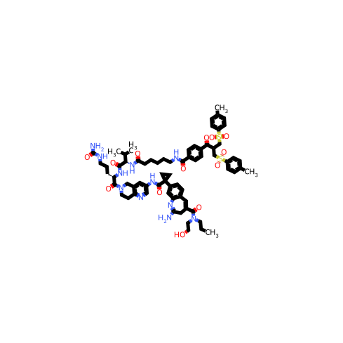 CCCN(CCO)C(=O)C1=Cc2ccc(C3(C(=O)Nc4cnc5c(c4)CN(C(=O)[C@H](CCCNC(N)=O)NC(=O)[C@@H](NC(=O)CCCCCNC(=O)c4ccc(C(=O)C(CS(=O)(=O)c6ccc(C)cc6)CS(=O)(=O)c6ccc(C)cc6)cc4)C(C)C)CC5)CC3)cc2N=C(N)C1